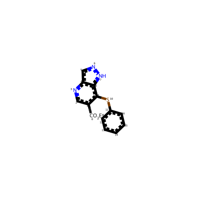 CCOC(=O)c1cnc2cn[nH]c2c1Sc1ccccc1